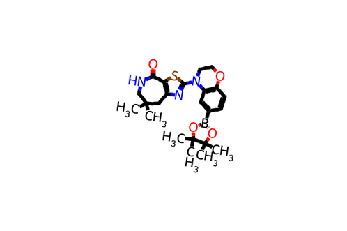 CC1(C)CNC(=O)c2sc(N3CCOc4ccc(B5OC(C)(C)C(C)(C)O5)cc43)nc2C1